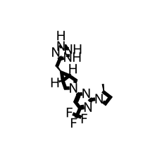 C[C@H]1CCN1c1nc(N2C[C@@H]3[C@@H](CC4=NNNN4)[C@@H]3C2)cc(C(F)(F)F)n1